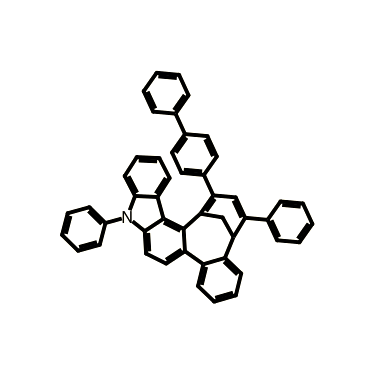 C1=C(c2ccccc2)C2CC(=C1c1ccc(-c3ccccc3)cc1)c1c(ccc3c1c1ccccc1n3-c1ccccc1)-c1ccccc12